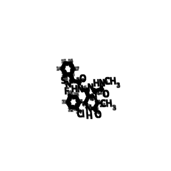 CNC(=O)c1nc(NC(=O)c2nsc3ccccc23)c2n1[C@H](C)C(=O)N[C@@H]2c1cc(F)ccc1Cl